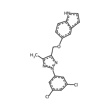 Cc1nn(-c2cc(Cl)cc(Cl)c2)nc1COc1ccc2[nH]ccc2c1